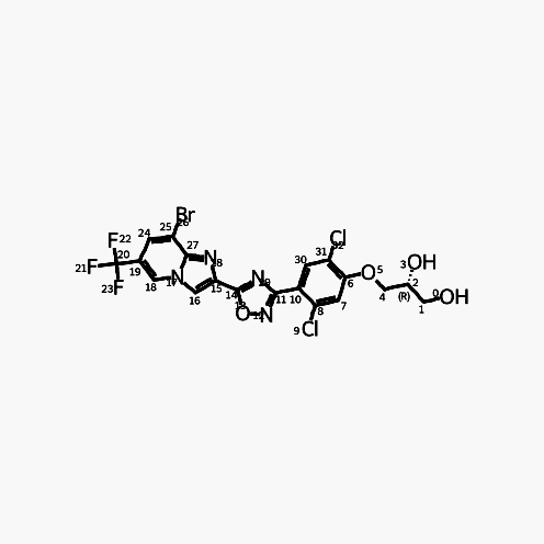 OC[C@@H](O)COc1cc(Cl)c(-c2noc(-c3cn4cc(C(F)(F)F)cc(Br)c4n3)n2)cc1Cl